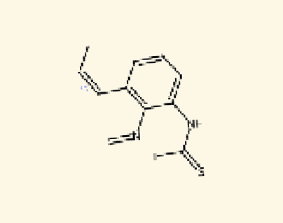 C=Nc1c(/C=C\C)cccc1NC(=S)I